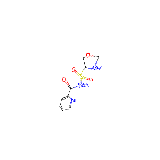 O=C(NS(=O)(=O)C1COCN1)c1ccccn1